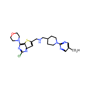 O=C(O)c1cnc(N2CCC(CNCc3cc4nc(Cl)nc(N5CCOCC5)c4s3)CC2)nc1